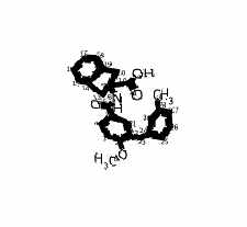 COc1ccc(C(=O)NC2(C(=O)O)Cc3ccccc3C2)cc1Cc1cccc(C)c1